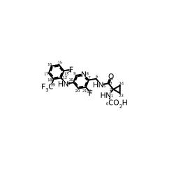 O=C(O)NC1(C(=O)NCc2ncc(Nc3c(F)cccc3C(F)(F)F)cc2F)CC1